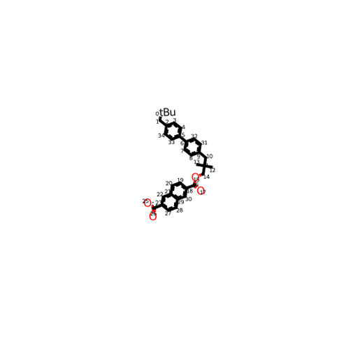 [CH2]C(C)(C)Cc1ccc(-c2ccc(CC(C)(C)COC(=O)c3ccc4cc(C([O])=O)ccc4c3)cc2)cc1